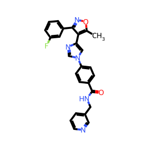 Cc1onc(-c2cccc(F)c2)c1-c1cn(-c2ccc(C(=O)NCc3cccnc3)cc2)cn1